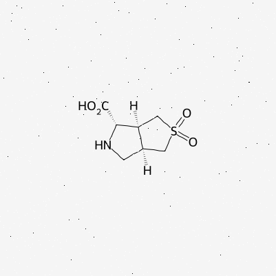 O=C(O)[C@H]1NC[C@@H]2CS(=O)(=O)C[C@@H]21